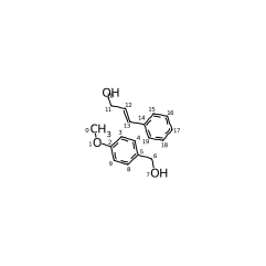 COc1ccc(CO)cc1.OCC=Cc1ccccc1